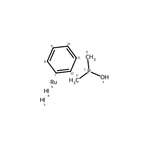 CP(C)O.I.I.[Ru].c1ccccc1